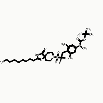 CCCCCCCCCC1=NC2(CCN(S(=O)(=O)C(F)(F)Cc3c(C)cc(N(C)C(=O)OC(C)(C)C)cc3C)CC2)C(=O)N1